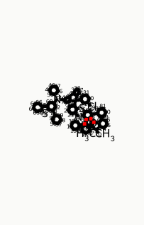 CC1(C)c2ccccc2-c2ccc(-c3ccccc3N(c3cccc4c3Sc3c(Cl)cccc3C43c4ccccc4-c4cc(N(c5ccccc5)c5cc(-c6ccccc6)c6sc7ccccc7c6c5)ccc43)c3ccc(-c4ccccc4)c4oc5ccccc5c34)cc21